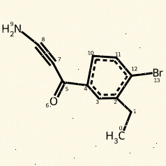 CCc1cc(C(=O)C#CN)ccc1Br